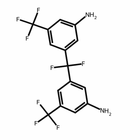 Nc1cc(C(F)(F)F)cc(C(F)(F)c2cc(N)cc(C(F)(F)F)c2)c1